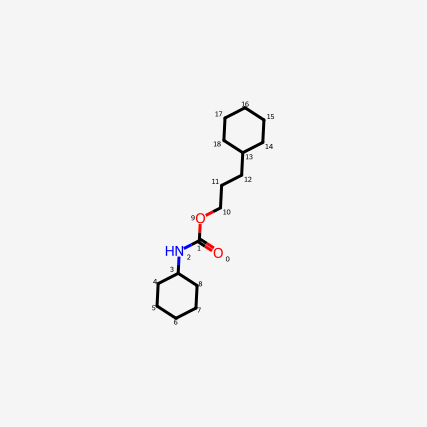 O=C(NC1CCCCC1)OCCCC1CCCCC1